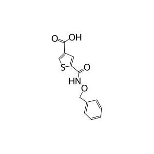 O=C(O)c1csc(C(=O)NOCc2ccccc2)c1